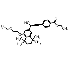 CCOCCOc1cc(C(O)C#Cc2ccc(C(=O)OCC)cc2)cc2c1C(C)(C)CCC2(C)C